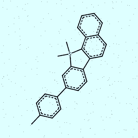 Cc1ccc(-c2ccc3c(c2)S(C)(C)c2c-3ccc3ccccc23)cc1